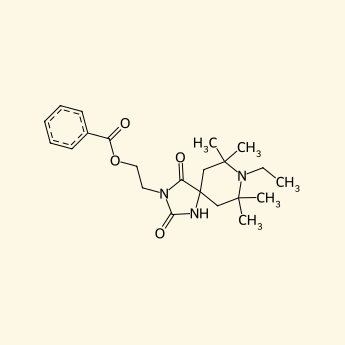 CCN1C(C)(C)CC2(CC1(C)C)NC(=O)N(CCOC(=O)c1ccccc1)C2=O